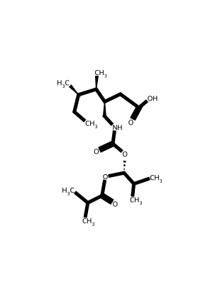 CC[C@@H](C)[C@@H](C)[C@H](CNC(=O)O[C@@H](OC(=O)C(C)C)C(C)C)CC(=O)O